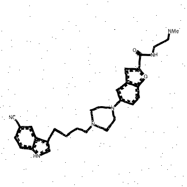 CNCCNC(=O)c1cc2cc(N3CCN(CCCCc4c[nH]c5ccc(C#N)cc45)CC3)ccc2o1